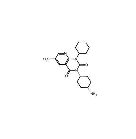 Cc1cnc2c(c1)c(=O)n([C@H]1CC[C@@H](N)CC1)c(=O)n2C1CCSCC1